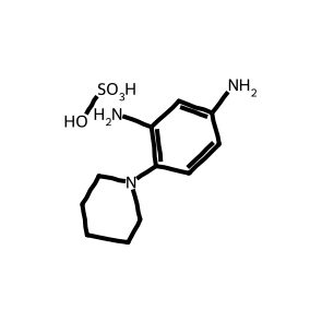 Nc1ccc(N2CCCCC2)c(N)c1.O=S(=O)(O)O